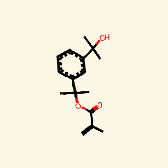 C=C(C)C(=O)OC(C)(C)c1cccc(C(C)(C)O)c1